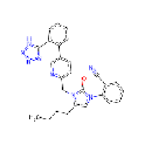 CCCCc1cn(-c2ccccc2C#N)c(=O)n1Cc1ccc(-c2ccccc2-c2nnn[nH]2)cn1